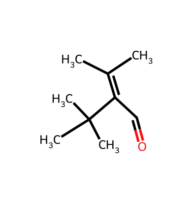 CC(C)=C(C=O)C(C)(C)C